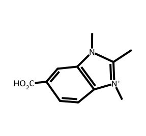 Cc1n(C)c2cc(C(=O)O)ccc2[n+]1C